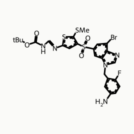 CSc1sc(/N=C/NC(=O)OC(C)(C)C)cc1S(=O)(=O)c1cc(Br)c2ncn(Cc3cc(N)ccc3F)c2c1